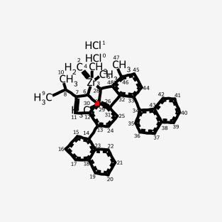 Cl.Cl.[CH2]=[Zr]([CH3])([CH3])([CH]1C(C(C)C)=Cc2c(-c3cccc4ccccc34)cccc21)[CH]1C(C)=Cc2c(-c3cccc4ccccc34)ccc(C)c21